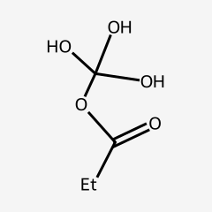 CCC(=O)OC(O)(O)O